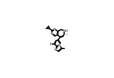 Cc1cnc2c(F)cc(C3=C[C@@H](C)NCc4nc(C5CC5)ncc43)cn12